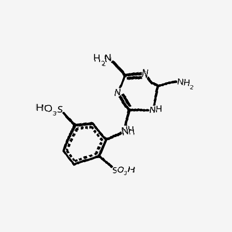 NC1=NC(N)NC(Nc2cc(S(=O)(=O)O)ccc2S(=O)(=O)O)=N1